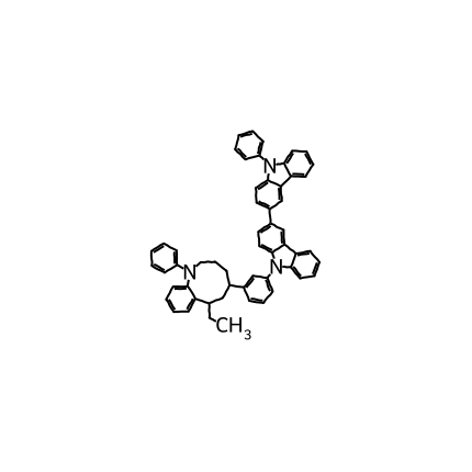 CCC1CC(c2cccc(-n3c4ccccc4c4cc(-c5ccc6c(c5)c5ccccc5n6-c5ccccc5)ccc43)c2)CCCN(c2ccccc2)c2ccccc21